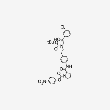 CC(C)(C)OC(=O)N(CCc1ccc(NC(=O)[C@H]2CCCN2C(=O)Oc2ccc([N+](=O)[O-])cc2)cc1)C[C@H](O)c1cccc(Cl)c1